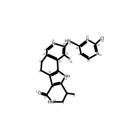 CC1CNC(=O)c2c1[nH]c1c2CCc2cnc(Nc3ccnc(Cl)n3)c(F)c2-1